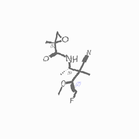 CO/C(=C\F)C(C)(C#N)[C@H](C)NC(=O)[C@]1(C)CO1